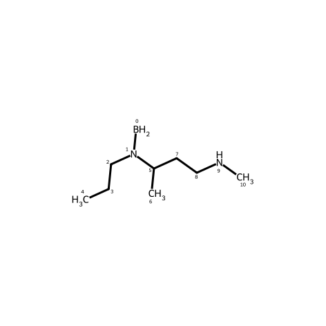 BN(CCC)C(C)CCNC